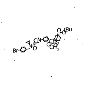 CC(C)(C)OC(=O)N1CCN(C(=O)C(C)(C)Oc2cccc(N3CCC[C@H](C(=O)N(Cc4ccc(Br)cc4)C4CC4)C3)c2)CC1